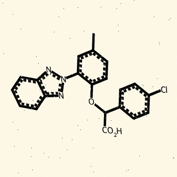 Cc1ccc(OC(C(=O)O)c2ccc(Cl)cc2)c(-n2nc3ccccc3n2)c1